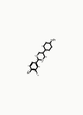 CCCC1CCC(C2COC(c3ccc(Br)c(F)c3)OC2)CC1